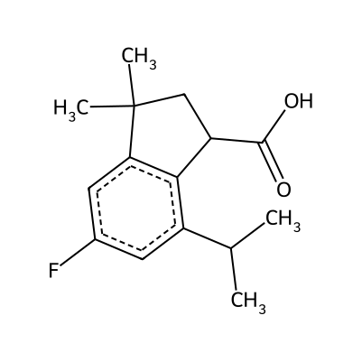 CC(C)c1cc(F)cc2c1C(C(=O)O)CC2(C)C